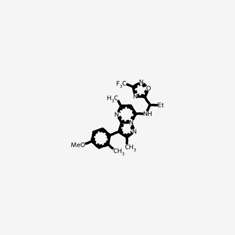 CCC(Nc1cc(C)nc2c(-c3ccc(OC)cc3C)c(C)nn12)c1nc(C(F)(F)F)no1